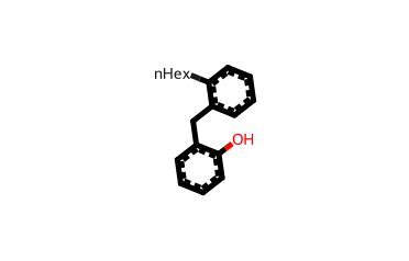 CCCCCCc1ccccc1Cc1ccccc1O